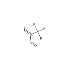 C=CC(=CC)C(F)(F)F